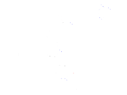 CCOc1cc(-c2ccn(C)c(=O)c2)nc2cc(C(=O)NCCCc3nnc[nH]3)ccc12